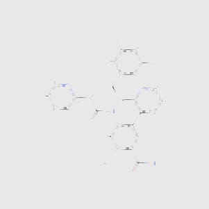 NC(=O)c1cc(-c2cccnc2[C@H](Cc2cc(F)cc(F)c2)NC(=O)Cc2ccccn2)ccc1F